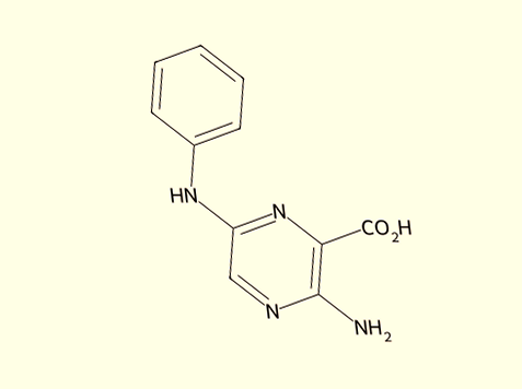 Nc1ncc(Nc2ccccc2)nc1C(=O)O